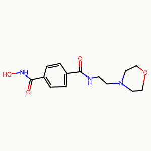 O=C(NO)c1ccc(C(=O)NCCN2CCOCC2)cc1